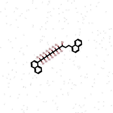 BrC(CCc1cccc2ccccc12)C(Br)(Br)C(Br)(Br)C(Br)(Br)C(Br)(Br)C(Br)(Br)C(Br)(Br)C(Br)(Br)c1cccc2ccccc12